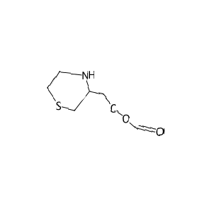 O=COCCC1CSCCN1